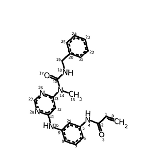 C=CC(=O)Nc1cccc(Nc2cc(N(C)C(=O)NCc3ccccc3)ncn2)c1